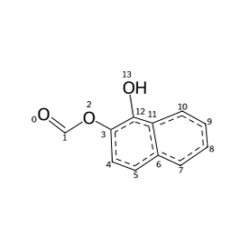 O=COc1ccc2ccccc2c1O